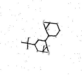 CC(C)(C)C1CC(C2CCCC3SC32)C2SC2(C)C1